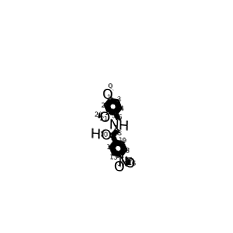 COc1ccc(CNCC(O)c2ccc([N+](=O)[O-])cc2)c(OC)c1